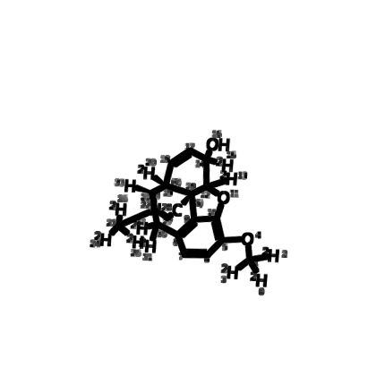 [2H]C([2H])([2H])Oc1ccc2c3c1OC1([2H])C([2H])(O)C=C[C@@]4([2H])[C@H](N(C([2H])([2H])[2H])CC[C@]314)C2([2H])[2H]